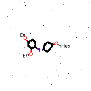 CCCCCCOc1ccc([I+]c2ccc(OCC)cc2OCC)cc1